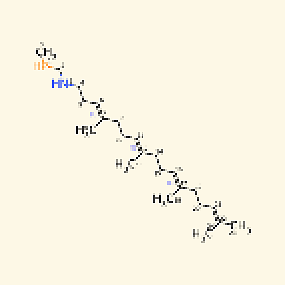 CPCNCC/C=C(\C)CC/C=C(\C)CC/C=C(\C)CCC=C(C)C